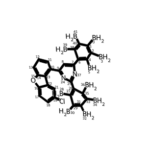 Bc1c(B)c(B)c(-c2cc(-c3cccc4oc5ccc(Cl)cc5c34)nc(-c3c(B)c(B)c(B)c(B)c3B)n2)c(B)c1B